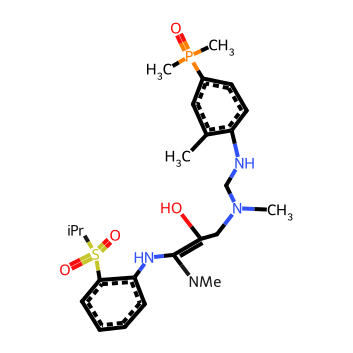 CN/C(Nc1ccccc1S(=O)(=O)C(C)C)=C(/O)CN(C)CNc1ccc(P(C)(C)=O)cc1C